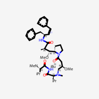 CC[C@H](C)[C@@H]([C@@H](CC(=O)N1CCC[C@H]1[C@H](OC)[C@@H](C)C(=O)N[C@H](/C=C\c1ccccc1)Cc1ccccc1)OC)N(C)[C@H](C(=O)NC(=O)[C@@H](NC)C(C)C)C(C)C